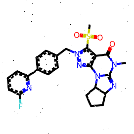 CN1C(=O)c2c(nn(Cc3ccc(-c4cccc(F)n4)cc3)c2S(C)(=O)=O)N2C1=NC1CCCC12